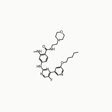 CCCCCOc1cncc(-c2nc(Nc3ccc(C(=O)NCCN4CCOCC4)c(NC)c3)ncc2F)c1